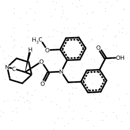 COc1ccccc1N(Cc1cccc(C(=O)O)c1)C(=O)O[C@H]1CN2CCC1CC2